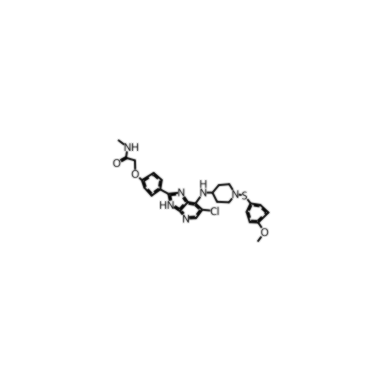 CNC(=O)COc1ccc(-c2nc3c(NC4CCN(Sc5ccc(OC)cc5)CC4)c(Cl)cnc3[nH]2)cc1